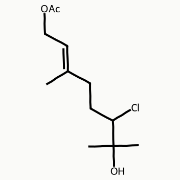 CC(=O)OC/C=C(\C)CCC(Cl)C(C)(C)O